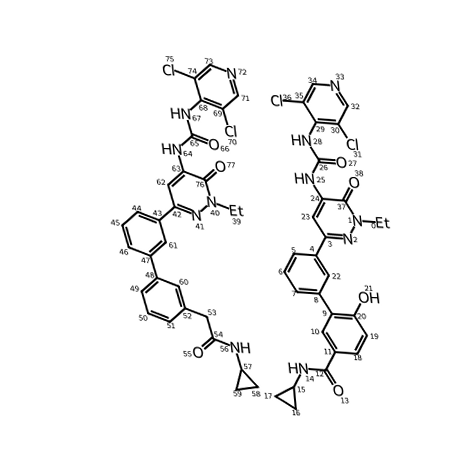 CCn1nc(-c2cccc(-c3cc(C(=O)NC4CC4)ccc3O)c2)cc(NC(=O)Nc2c(Cl)cncc2Cl)c1=O.CCn1nc(-c2cccc(-c3cccc(CC(=O)NC4CC4)c3)c2)cc(NC(=O)Nc2c(Cl)cncc2Cl)c1=O